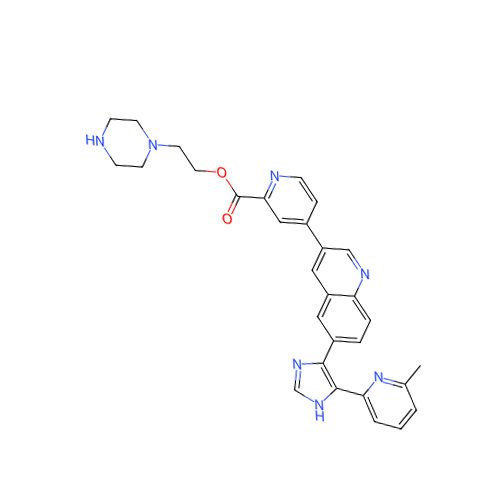 Cc1cccc(-c2[nH]cnc2-c2ccc3ncc(-c4ccnc(C(=O)OCCN5CCNCC5)c4)cc3c2)n1